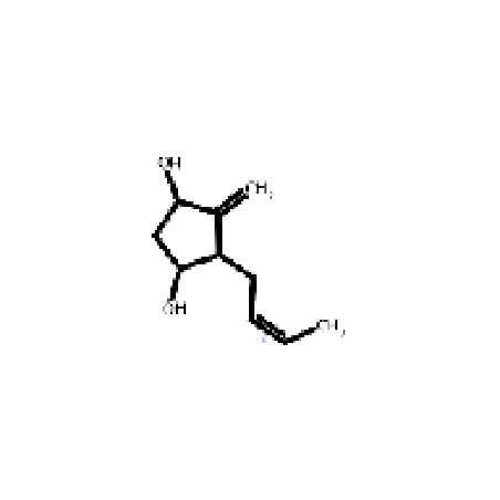 C=C1C(O)CC(O)C1C/C=C\C